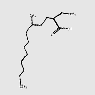 CCCCCCCCC(C)CCC(CC)C(=O)O